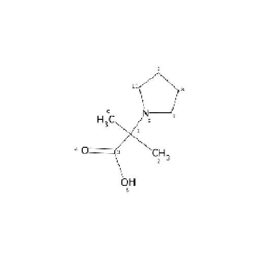 CC(C)(C(=O)O)N1CCCC1